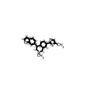 Cc1cnc(-c2ccc3c(c2)CN(C)CC3c2ccc3ccoc3c2)s1